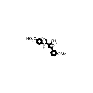 COc1cccc(-c2cc(C(CC(C)C)Nc3ccc(C(=O)O)cc3)c(C)o2)c1